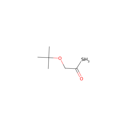 CC(C)(C)OCC(=O)[SiH3]